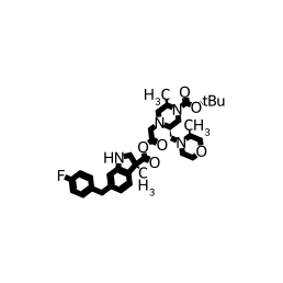 C[C@@H]1COCCN1C[C@H]1CN(C(=O)OC(C)(C)C)[C@H](C)CN1CC(=O)OC(=O)[C@]1(C)CNc2cc(Cc3ccc(F)cc3)ccc21